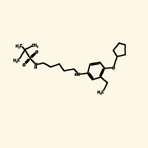 CCc1cc(NCCCCCNS(=O)(=O)C(C)(C)C)ccc1OC1CCCC1